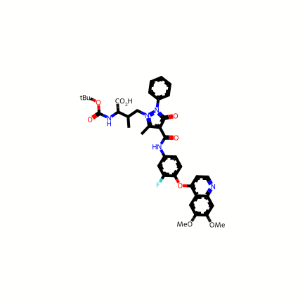 COc1cc2nccc(Oc3ccc(NC(=O)c4c(C)n(CC(C)C(NC(=O)OC(C)(C)C)C(=O)O)n(-c5ccccc5)c4=O)cc3F)c2cc1OC